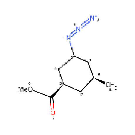 COC(=O)[C@H]1CC(N=[N+]=[N-])C[C@@H](C)C1